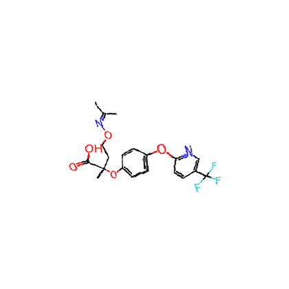 CC(C)=NOCCC(C)(Oc1ccc(Oc2ccc(C(F)(F)F)cn2)cc1)C(=O)O